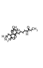 CCC(=O)NCCCCC(NC(C)=O)C(=O)NC(CN)C(N)=O